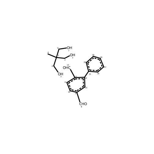 CC(CO)(CO)CO.O=Cc1ccc(C=O)c(-c2ccccc2)c1